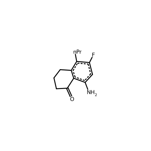 CCCc1c(F)cc(N)c2c1CCCC2=O